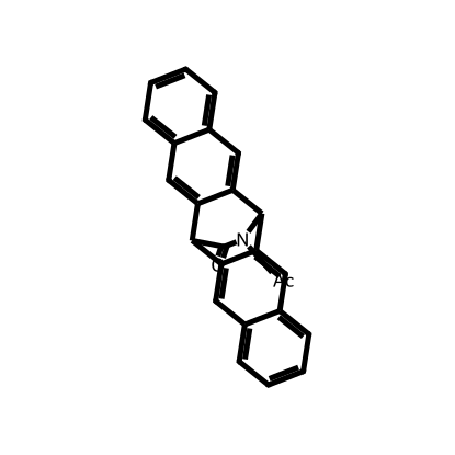 CC(=O)N1C(=O)C2c3cc4ccccc4cc3C1c1cc3ccccc3cc12